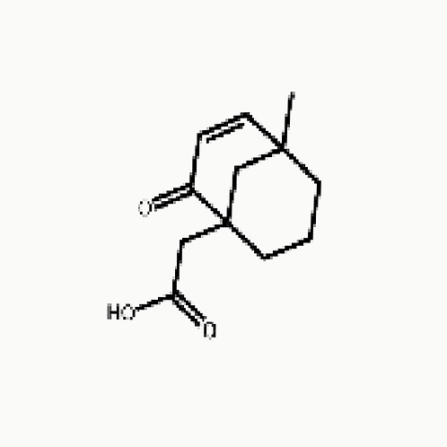 CC12C=CC(=O)C(CC(=O)O)(CCC1)C2